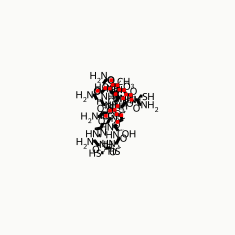 C[C@H](NC(=O)[C@H](CS)NC(=O)[C@H](C)NC(=O)[C@H]1CCCN1C(=O)[C@H](CC1=NCNC1)NC(=O)[C@H](CO)NC(=O)[C@H](CS)NC(=O)[C@H](CS)NC(=O)CN)C(=O)N[C@@H](CC(N)=O)C(=O)N[C@@H](CC(N)=O)C(=O)N[C@@H](CCC(N)=O)C(=O)N[C@@H](CC(=O)O)C(=O)N[C@@H](Cc1ccc(O)cc1)C(=O)N[C@@H](CS)C(N)=O